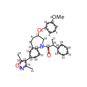 COc1cccc(OC2CCc3cc(-c4c(C)noc4C)ccc3N(C(=O)C(C)c3ccccc3)C2)c1